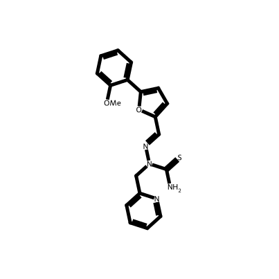 COc1ccccc1-c1ccc(C=NN(Cc2ccccn2)C(N)=S)o1